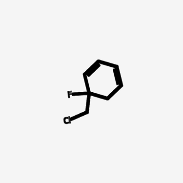 FC1(CCl)C=CC=CC1